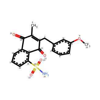 CC1=C(Cc2cccc(OC(F)(F)F)c2)C(=O)c2c(cccc2S(N)(=O)=O)C1=O